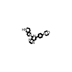 c1cnc2c(N3CCC4(CCCNC4)C3)nc(-c3ccc(N4CCOCC4)cc3)cc2n1